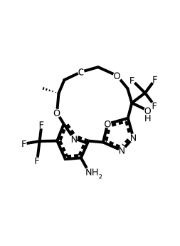 C[C@@H]1CCCOCC(O)(C(F)(F)F)c2nnc(o2)-c2nc(c(C(F)(F)F)cc2N)O1